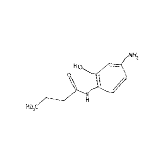 Nc1ccc(NC(=O)CCC(=O)O)c(O)c1